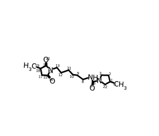 CC1CCN(C(=O)NCCCCCCN2C(=O)CC(C)C2=O)C1